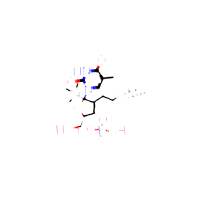 COCCC1[C@H](OP(O)(O)=S)[C@@H](CO)O[C@]1(n1cc(C)c(=O)[nH]c1=O)[Si](C)(C)C